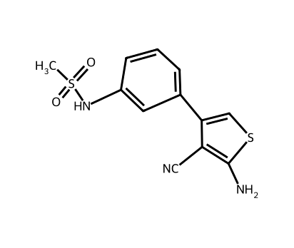 CS(=O)(=O)Nc1cccc(-c2csc(N)c2C#N)c1